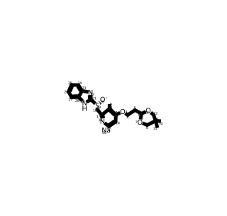 Cc1c(OCCC2OCC(C)(C)CO2)ccnc1C[S+]([O-])c1nc2ccccc2[nH]1.[Na]